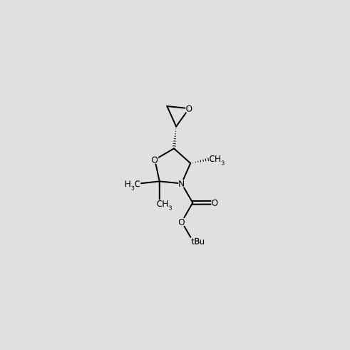 C[C@H]1C([C@@H]2CO2)OC(C)(C)N1C(=O)OC(C)(C)C